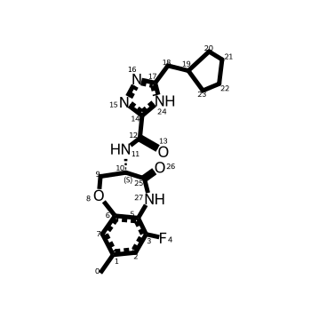 Cc1cc(F)c2c(c1)OC[C@H](NC(=O)c1nnc(CC3CCCC3)[nH]1)C(=O)N2